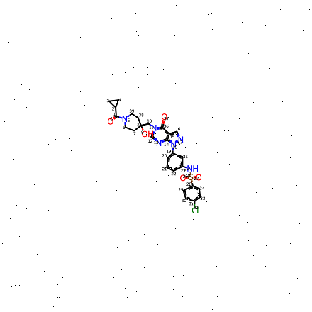 O=C(C1CC1)N1CCC(O)(Cn2cnc3c(cnn3-c3cccc(NS(=O)(=O)c4ccc(Cl)cc4)c3)c2=O)CC1